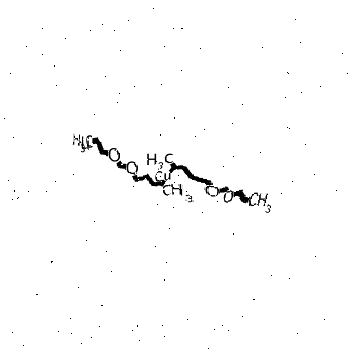 CCCOCOCCC[CH](C)[Cu][CH](C)CCCOCOCCC.[Li]